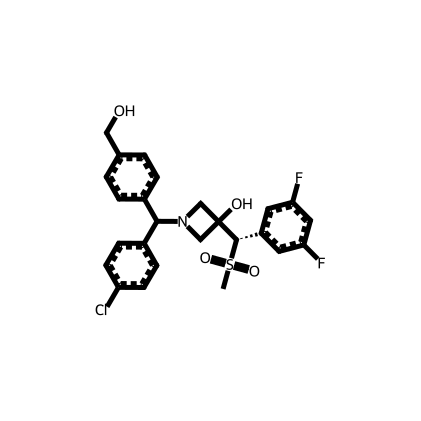 CS(=O)(=O)[C@@H](c1cc(F)cc(F)c1)C1(O)CN(C(c2ccc(Cl)cc2)c2ccc(CO)cc2)C1